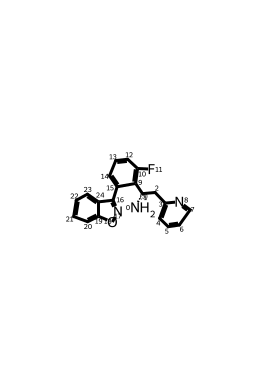 N[C@@H](Cc1ccccn1)c1c(F)cccc1-c1noc2ccccc12